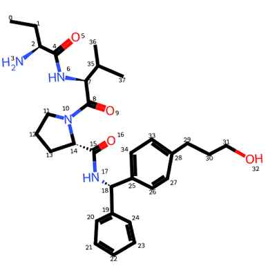 CC[C@H](N)C(=O)N[C@H](C(=O)N1CCC[C@H]1C(=O)N[C@@H](c1ccccc1)c1ccc(CCCO)cc1)C(C)C